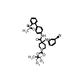 CC(C)(C)OC(=O)N1CCC(Nc2cccc(C#N)c2)(C(=O)Nc2ccc(-c3ccccc3S(C)(=O)=O)cc2)CC1